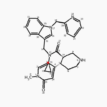 Cn1ccc([C@H]2CCNC[C@@H]2C(=O)N(Cc2cn(Cc3ccccn3)c3ccccc23)C2CC2)cc1=O